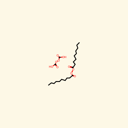 CCCCCCCCCC(=O)OOC(=O)CCCCCCCCC.O=C(O)OOC(=O)O